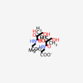 CC(C)(CO)[C@@H](O)C(=O)NCCC(=O)[O-].CC(C)(CO)[C@@H](O)C(=O)NCCC(=O)[O-].[Mg+2]